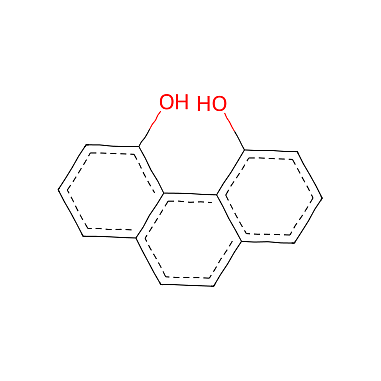 Oc1cccc2ccc3cccc(O)c3c12